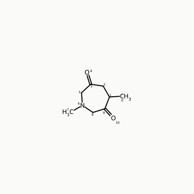 CC1CC(=O)CN(C)CC1=O